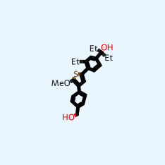 CCc1cc(C(O)(CC)CC)ccc1-c1cc(-c2ccc(CO)cc2)c(OC)s1